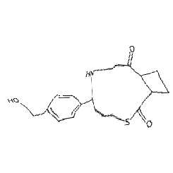 O=C1CNC(c2ccc(CO)cc2)CSC(=O)C2CCC12